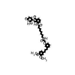 COc1ccc(CCCc2cccc(OCC(=O)NCCCCCCCC(=O)Nc3cccc4c3CN(C3CCC(=O)NC3=O)C4=O)c2)cc1OC